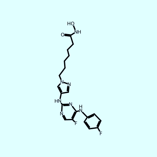 O=C(CCCCCCn1cc(Nc2ncc(F)c(Nc3ccc(F)cc3)n2)cn1)NO